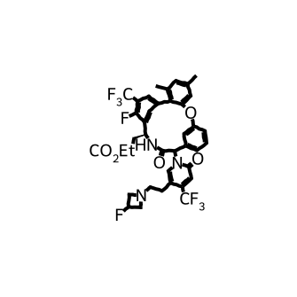 CCOC(=O)C[C@@H]1NC(=O)C(n2cc(CCN3CC(F)C3)c(C(F)(F)F)cc2=O)c2cccc(c2)Oc2cc(C)cc(C)c2-c2cc1c(F)c(C(F)(F)F)c2